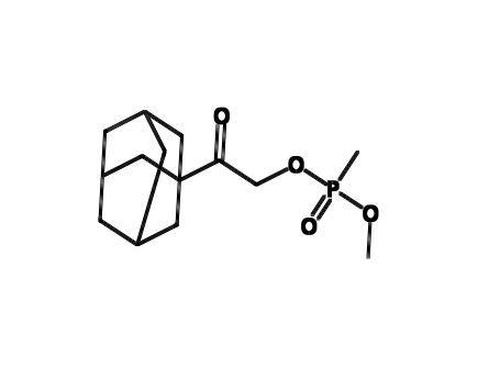 COP(C)(=O)OCC(=O)C12CC3CC(CC(C3)C1)C2